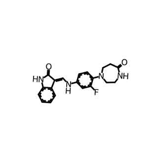 O=C1CCN(c2ccc(N/C=C3/C(=O)Nc4ccccc43)cc2F)CCN1